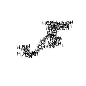 C[C@H](NC(=O)OC(C)(C)C)C(=O)N[C@@H](CNI)C(=O)N[C@@H](CCCCN(C[C@H](O)[C@@H](O)[C@H](O)[C@H](O)CO)C[C@H](O)[C@@H](O)[C@H](O)[C@H](O)CO)C(=O)NCCCc1ccc(-c2ccc(CCCCNC(=N)NC(=O)c3nc(Cl)c(N)nc3N)cc2)cc1